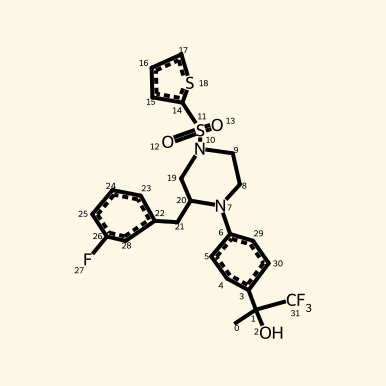 CC(O)(c1ccc(N2CCN(S(=O)(=O)c3cccs3)CC2Cc2cccc(F)c2)cc1)C(F)(F)F